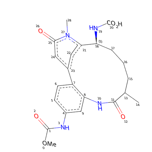 COC(=O)Nc1ccc2c(c1)NC(=O)C(C)CCC[C@H](NC(=O)O)c1cc-2cc(=O)n1C